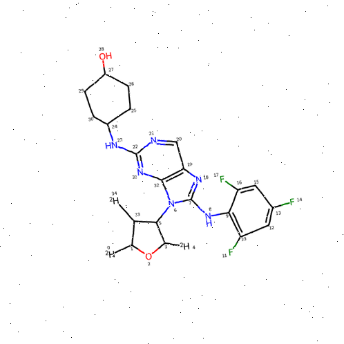 [2H]C1OC([2H])C(n2c(Nc3c(F)cc(F)cc3F)nc3cnc(NC4CCC(O)CC4)nc32)C1[2H]